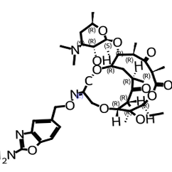 CC[C@H]1OC(=O)[C@H](C)C(=O)[C@H](C)[C@@H](O[C@@H]2O[C@H](C)C[C@H](N(C)C)[C@H]2O)[C@@]2(C)C[C@@H](C)C(=O)[C@H](C)[C@@H](OC/C(=N\OCc3ccc4oc(N)nc4c3)CO2)[C@]1(C)O